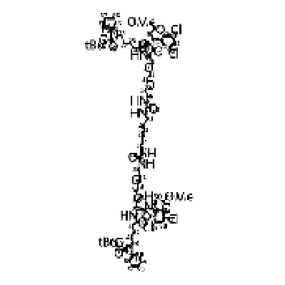 COC(=O)CC(NC(=O)[C@H](COCCOCCNC(=O)NCCCCCCNC(=O)NCCOCCOC[C@H](NC(=O)CCCCN(C(=O)OC(C)(C)C)c1ccccn1)C(=O)NC(CC(=O)OC)c1cc(Cl)cc(Cl)c1)NC(=O)CCCCN(C(=O)OC(C)(C)C)c1ccccn1)c1cc(Cl)cc(Cl)c1